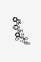 Cc1nc2ccccc2n1-c1cncc(Nc2ccc(C(F)(F)F)c(CNC(=O)OC(C)(C)C)c2)n1